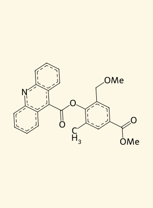 COCc1cc(C(=O)OC)cc(C)c1OC(=O)c1c2ccccc2nc2ccccc12